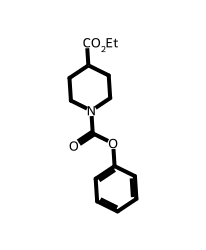 CCOC(=O)C1CCN(C(=O)Oc2ccccc2)CC1